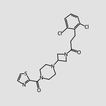 O=C(CCc1c(Cl)cccc1Cl)N1CC(N2CCN(C(=O)c3nccs3)CC2)C1